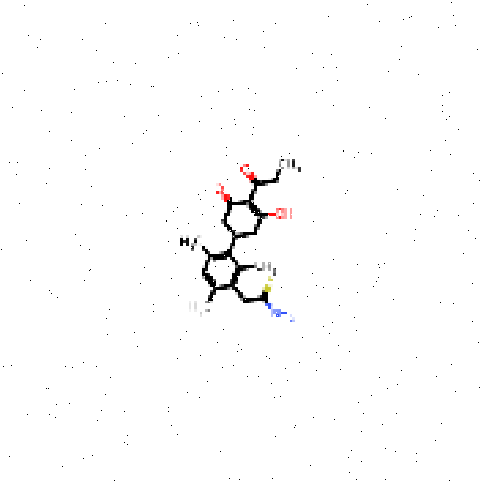 CCC(=O)C1=C(O)CC(c2c(C)cc(C)c(CC(N)=S)c2C)CC1=O